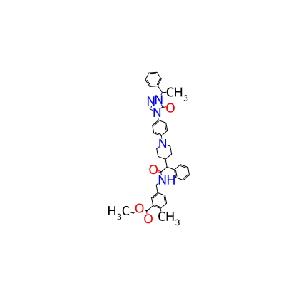 CCOC(=O)c1cc(CNC(=O)C(c2ccccc2)C2CCN(c3ccc(-n4cnn(C(C)c5ccccc5)c4=O)cc3)CC2)ccc1C